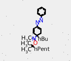 CCCCCC(C)(C)ON(C)C1(CCCC)C=CC(N=Nc2ccccc2)=CC1